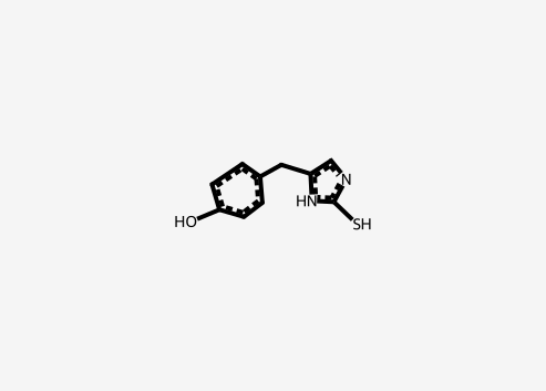 Oc1ccc(Cc2cnc(S)[nH]2)cc1